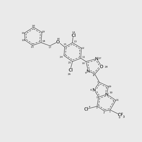 FC(F)(F)c1cc(Cl)c2nc(-c3nc(-c4cc(Cl)c(OCc5ccccc5)cc4Cl)no3)cn2c1